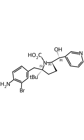 CC(C)(C)[C@@]1(Cc2ccc(N)c(Br)c2)CC[C@H]([C@H](O)c2cccnc2)N1C(=O)O